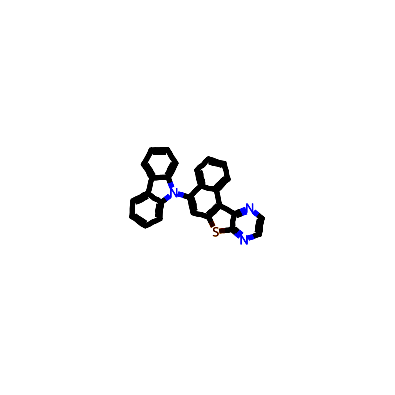 c1ccc2c(c1)c(-n1c3ccccc3c3ccccc31)cc1sc3nccnc3c12